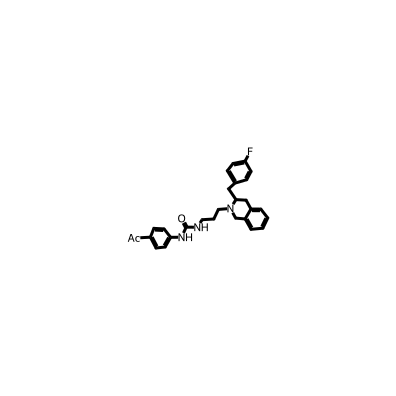 CC(=O)c1ccc(NC(=O)NCCCN2Cc3ccccc3CC2Cc2ccc(F)cc2)cc1